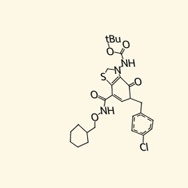 CC(C)(C)OC(=O)NN1CSC2=C1C(=O)C(Cc1ccc(Cl)cc1)C=C2C(=O)NOCC1CCCCC1